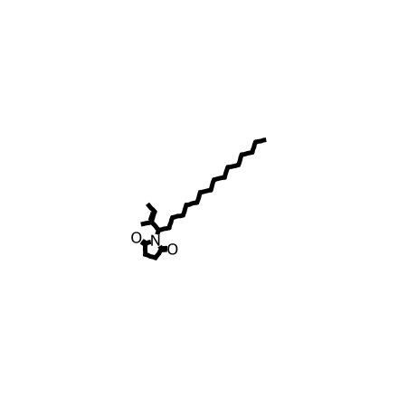 C/C=C(\C)C(CCCCCCCCCCCCCCC)N1C(=O)CCC1=O